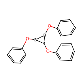 c1ccc(OB2B(Oc3ccccc3)B2Oc2ccccc2)cc1